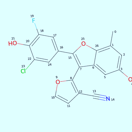 Cc1cc(O)cc2c(-c3occc3C#N)c(-c3cc(F)c(O)c(Cl)c3)oc12